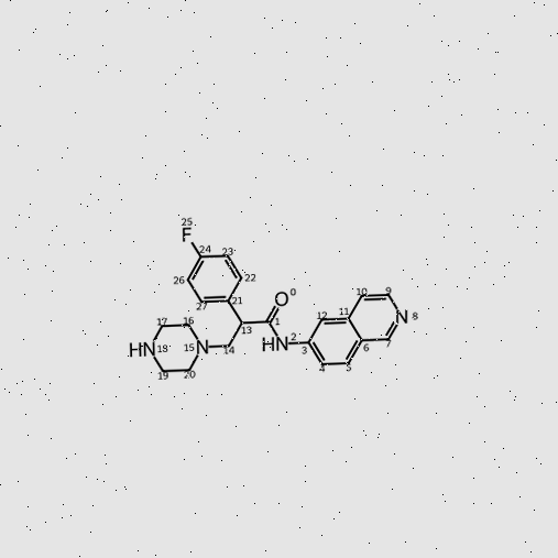 O=C(Nc1ccc2cnccc2c1)C(CN1CCNCC1)c1ccc(F)cc1